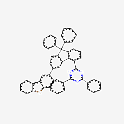 c1ccc(-c2nc(-c3ccccc3)nc(-c3cccc4c3-c3cc(-c5ccc6sc7ccccc7c6c5)ccc3C4(c3ccccc3)c3ccccc3)n2)cc1